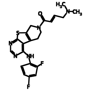 CN(C)CC=CC(=O)N1CCc2c(sc3ncnc(Nc4ccc(F)cc4F)c23)C1